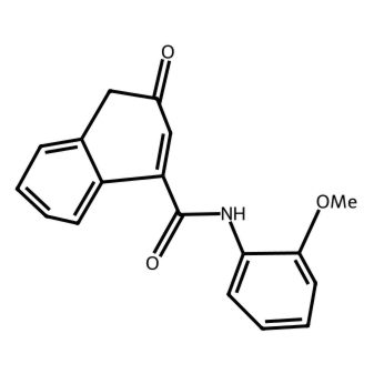 COc1ccccc1NC(=O)C1=CC(=O)Cc2ccccc21